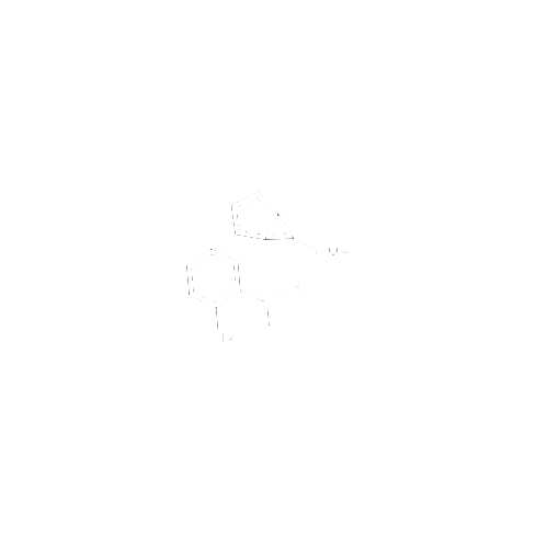 CC(C)(C)c1ccccc1B(O)O.COc1c2cccc1-2